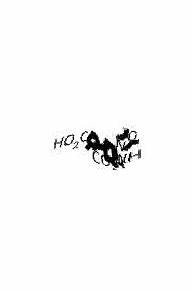 Cc1c(C(=O)O)ccc(-c2cc(N3CC(C)OC(C)C3)c3[nH]ncc3c2)c1C(=O)O